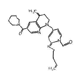 C=CCC/N=c1/cc(N2CCC(=C)c3cc(C(=O)N4CCCCC4)cnc32)ccn1C=O